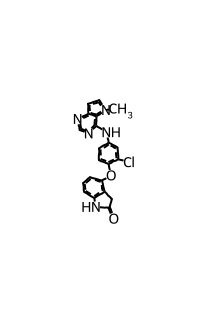 Cn1ccc2ncnc(Nc3ccc(Oc4cccc5c4CC(=O)N5)c(Cl)c3)c21